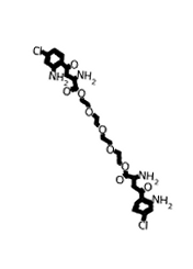 Nc1cc(Cl)ccc1C(=O)CC(N)C(=O)OCCOCCOCCOCCOC(=O)C(N)CC(=O)c1ccc(Cl)cc1N